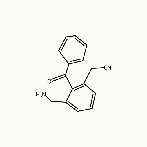 N#CCc1cccc(CN)c1C(=O)c1ccccc1